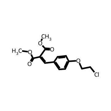 COC(=O)C(=Cc1ccc(OCCCl)cc1)C(=O)OC